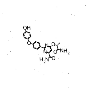 C[C@H](Oc1cc(C(N)=O)nc(-c2ccc(Oc3ccc(O)cc3)cc2)n1)C(N)=O